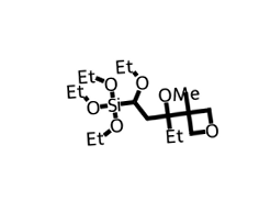 CCOC(CC(CC)(OC)C1(C)COC1)[Si](OCC)(OCC)OCC